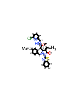 COc1ccc(CN2C(CC(=O)NCc3cccc(Cl)n3)C(=C(C)C)C(=O)N2c2nc3ccccc3s2)cc1